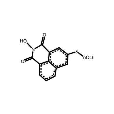 CCCCCCCCSc1cc2c3c(cccc3c1)C(=O)N(O)C2=O